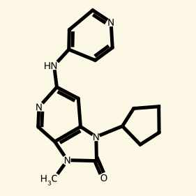 Cn1c(=O)n(C2CCCC2)c2cc(Nc3ccncc3)ncc21